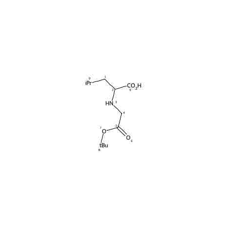 CC(C)CC(NCC(=O)OC(C)(C)C)C(=O)O